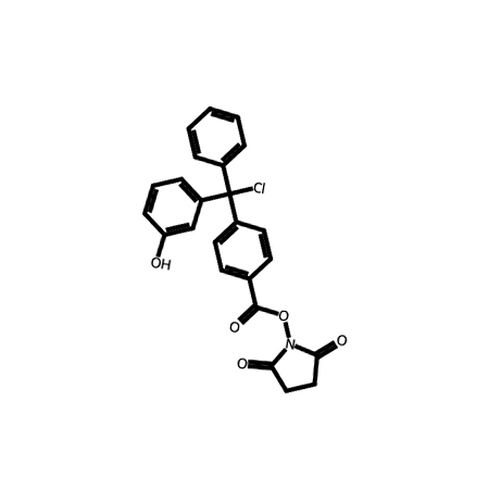 O=C(ON1C(=O)CCC1=O)c1ccc(C(Cl)(c2ccccc2)c2cccc(O)c2)cc1